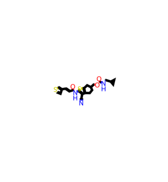 N#Cc1c(NC(=O)C=Cc2ccsc2)sc2c1CCC(COC(=O)NCC1CC1)C2